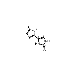 Cc1ccc(-c2c[nH]c(=S)[nH]2)s1